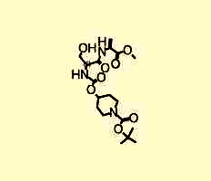 C=C(NC(=O)[C@H](CO)NC(=O)OC1CCN(C(=O)OC(C)(C)C)CC1)C(=O)OC